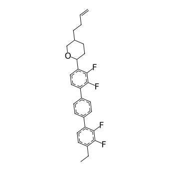 C=CCCC1CCC(c2ccc(-c3ccc(-c4ccc(CC)c(F)c4F)cc3)c(F)c2F)OC1